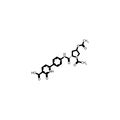 CC(=O)OC1C[C@@H](C(=O)Nc2ccc(-c3ccc(C(=O)O)c(=O)[nH]3)cc2)N(C(C)=O)C1